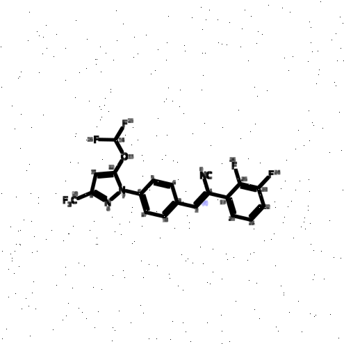 [C-]#[N+]/C(=C\c1ccc(-n2nc(C(F)(F)F)cc2OC(F)F)cc1)c1cccc(F)c1F